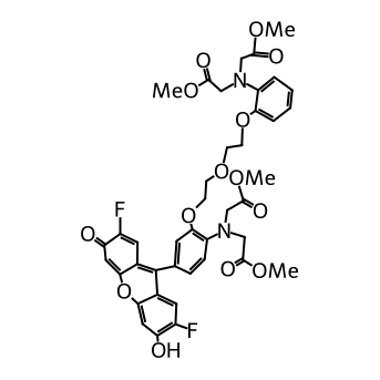 COC(=O)CN(CC(=O)OC)c1ccccc1OCCOCCOc1cc(-c2c3cc(F)c(=O)cc-3oc3cc(O)c(F)cc23)ccc1N(CC(=O)OC)CC(=O)OC